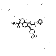 C[C@H](Cn1cccn1)c1nc2c3c(ccc2n1C1CCS(=O)(=O)CC1)N(C(=O)O)[C@@H](C)CC3